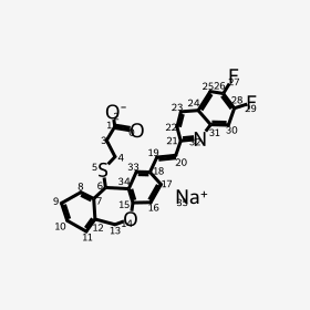 O=C([O-])CCSC1c2ccccc2COc2ccc(C=Cc3ccc4cc(F)c(F)cc4n3)cc21.[Na+]